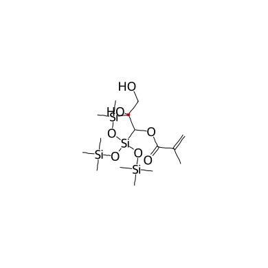 C=C(C)C(=O)OC(C(O)CO)[Si](O[Si](C)(C)C)(O[Si](C)(C)C)O[Si](C)(C)C